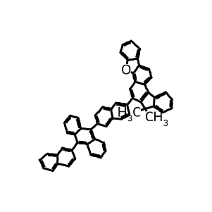 CC1(C)c2ccccc2-c2c1c(-c1ccc3cc(-c4c5ccccc5c(-c5ccc6ccccc6c5)c5ccccc45)ccc3c1)cc1c2ccc2c3ccccc3oc12